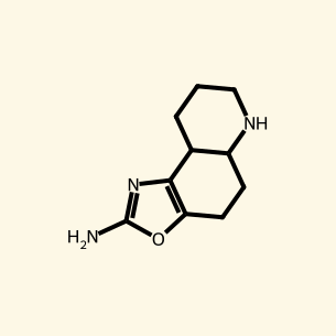 Nc1nc2c(o1)CCC1NCCCC21